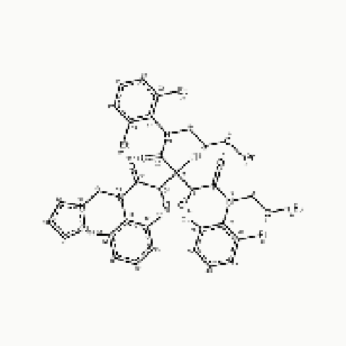 CCCCOCN(C(=O)C(Cl)C(Cl)(C(=O)N(CCOCCC)c1c(CC)cccc1CC)C(Cl)C(=O)N(Cn1cccn1)c1c(C)cccc1C)c1c(CC)cccc1CC